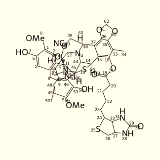 COc1cc2c(cc1O)CCN[C@]21CS[C@@H]2c3c(OC(=O)CCCCC4SCC5NC(=O)NC54)c(C)c4c(c3[C@H](COC1=O)N1C2[C@H]2c3c(cc(C)c(OC)c3O)C[C@@H]([C@@H]1C#N)N2C)OCO4